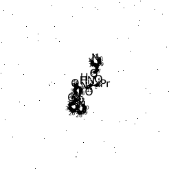 CC(C)C[C@H](NC(=O)OCc1ccncc1)C(=O)NC1CN(S(=O)(=O)c2cccc3cccnc23)CC1=O